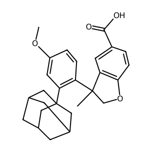 COc1ccc(C2(C)COc3ccc(C(=O)O)cc32)c(C23CC4CC(CC(C4)C2)C3)c1